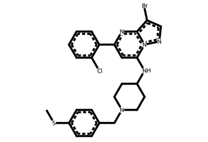 CSc1ccc(CN2CCC(Nc3cc(-c4ccccc4Cl)nc4c(Br)cnn34)CC2)cc1